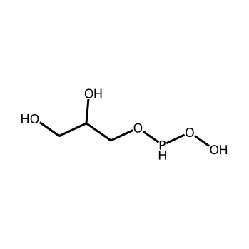 OCC(O)COPOO